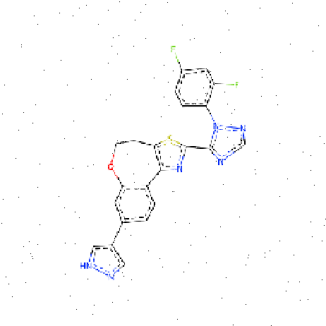 Fc1ccc(-n2ncnc2-c2nc3c(s2)CCOc2cc(-c4cn[nH]c4)ccc2-3)c(F)c1